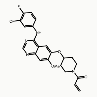 C=CC(=O)N1CCC(Oc2cc3c(Nc4ccc(F)c(Cl)c4)ncnc3cc2OC)CC1